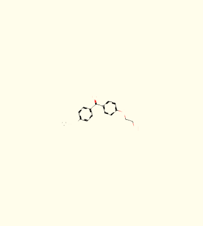 COc1ccc(C(=O)c2ccc(OCCO)cc2)cc1